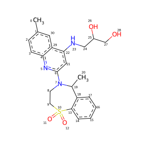 Cc1ccc2nc(N3CCS(=O)(=O)c4ccccc4C3C)cc(NCC(O)CO)c2c1